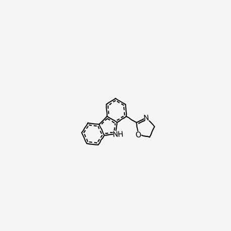 c1ccc2c(c1)[nH]c1c(C3=NCCO3)cccc12